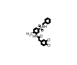 Cc1ccc(S(=O)(=O)NCc2ccccc2)cc1NC(=O)Cc1ccc(Cl)c(Cl)c1